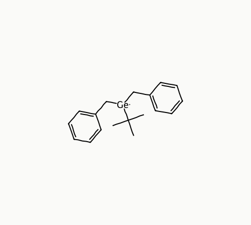 C[C](C)(C)[Ge]([CH2]c1ccccc1)[CH2]c1ccccc1